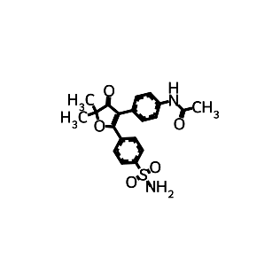 CC(=O)Nc1ccc(C2=C(c3ccc(S(N)(=O)=O)cc3)OC(C)(C)C2=O)cc1